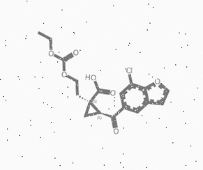 CCOC(=O)OCC[C@@]1(C(=O)O)C[C@@H]1C(=O)c1cc(Cl)c2occc2c1